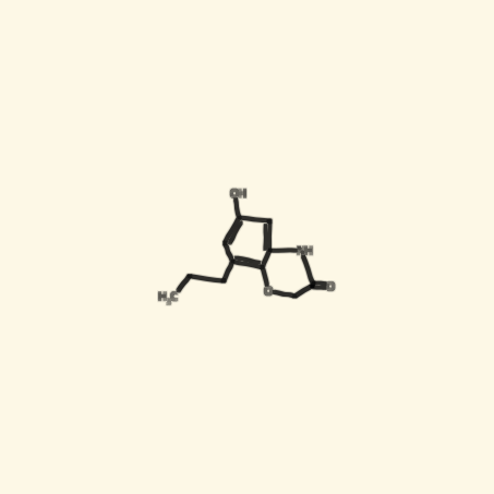 CCCc1cc(O)cc2c1OCC(=O)N2